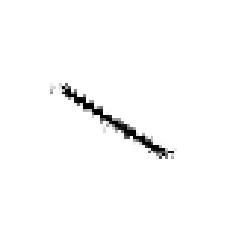 OCCCCCCCCCCCCNCCCCCCCCCO